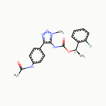 CC(=O)Nc1ccc(-c2nnn(C)c2NC(=O)O[C@H](C)c2ccccc2Cl)cc1